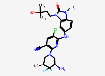 C[C@H]1CN(c2nc(Nc3ccc4c(c3)n(CCC(C)(C)O)c(=O)n4C)c(Cl)cc2C#N)C[C@@H](N)C1(F)F